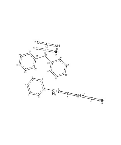 Cc1ccccc1.N=C=O.N=C=O.N=C=O.N=C=O.c1ccc(Cc2ccccc2)cc1